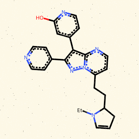 CCN1C=CCC1CCc1ccnc2c(-c3ccnc(O)c3)c(-c3ccncc3)nn12